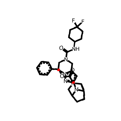 O=C(NC1CCC(F)(F)CC1)N1CCn2nc(N3C4CCC3CN(C(=O)OCc3ccccc3)C4)cc2C1